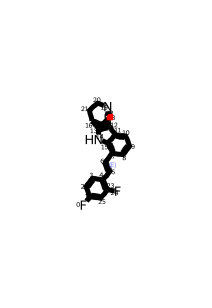 Fc1ccc(/C=C/c2cccc3c4c([nH]c23)C2CCN(CC2)C4)c(F)c1